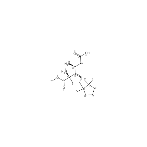 COC(=O)[C@@](N)(CSC1(C)CCCC1(C)C)C(=O)[C@@H](N)CC(=O)O